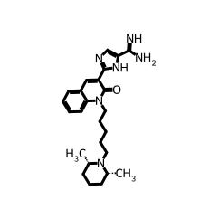 C[C@@H]1CCC[C@H](C)N1CCCCCn1c(=O)c(-c2ncc(C(=N)N)[nH]2)cc2ccccc21